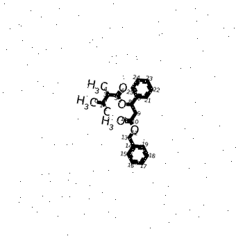 CC(C)C(C)C(=O)OC(CC(=O)OCc1ccccc1)c1ccccc1